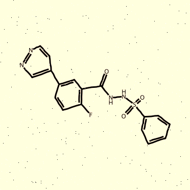 O=C(NNS(=O)(=O)c1ccccc1)c1cc(-c2ccnnc2)ccc1F